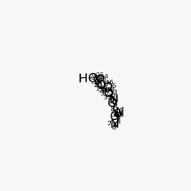 CN(C)Cc1cnc(CCON=C2C=C3CCC4C(CC[C@@]5(C)C4CC[C@@H]5O)[C@@]3(C)CC2)o1